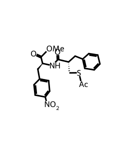 COC(=O)[C@H](Cc1ccc([N+](=O)[O-])cc1)NC(=O)[C@@H](CSC(C)=O)Cc1ccccc1